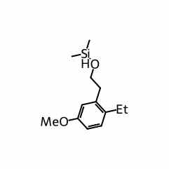 CCc1ccc(OC)cc1CCO[SiH](C)C